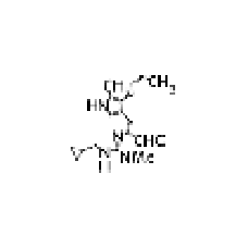 C=c1[nH]cc(/C=C(C=O)\N=C(/NC)NCC2CC2)/c1=C/C=C\C